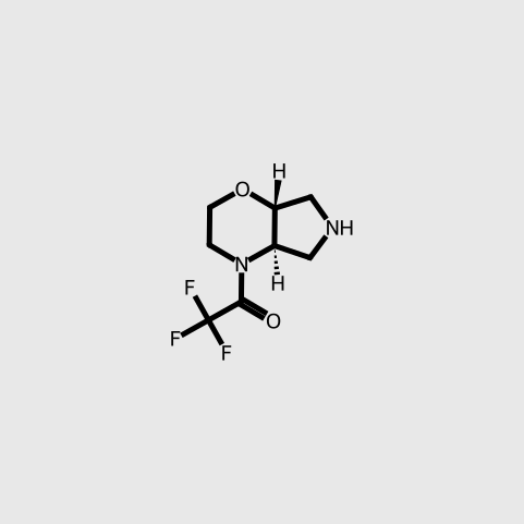 O=C(N1CCO[C@@H]2CNC[C@H]21)C(F)(F)F